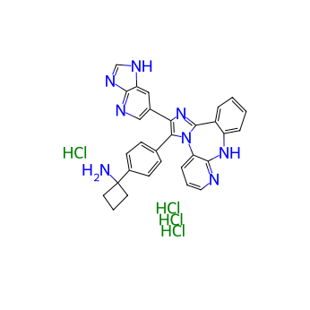 Cl.Cl.Cl.Cl.NC1(c2ccc(-c3c(-c4cnc5nc[nH]c5c4)nc4n3-c3cccnc3Nc3ccccc3-4)cc2)CCC1